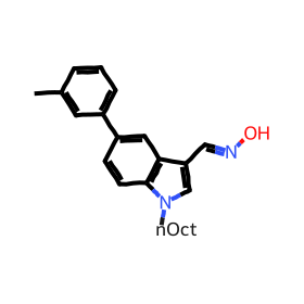 CCCCCCCCn1cc(/C=N/O)c2cc(-c3cccc(C)c3)ccc21